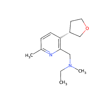 CCN(C)Cc1nc(C)ccc1[C@@H]1CCOC1